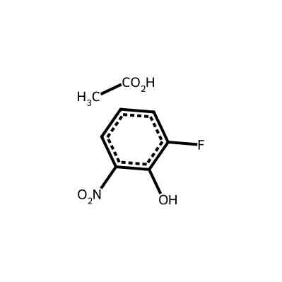 CC(=O)O.O=[N+]([O-])c1cccc(F)c1O